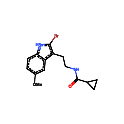 COc1ccc2[nH]c(Br)c(CCNC(=O)C3CC3)c2c1